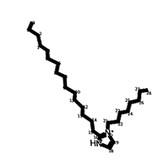 CCCCCCCCCCCCCCCCc1[nH]cc[n+]1CCCCCCCC